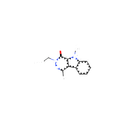 CC(C)c1nn(CC(=O)O)c(=O)c2c1c1ccccc1n2C